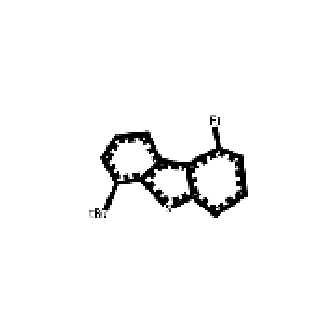 CCc1cccc2sc3c(C(C)(C)C)cccc3c12